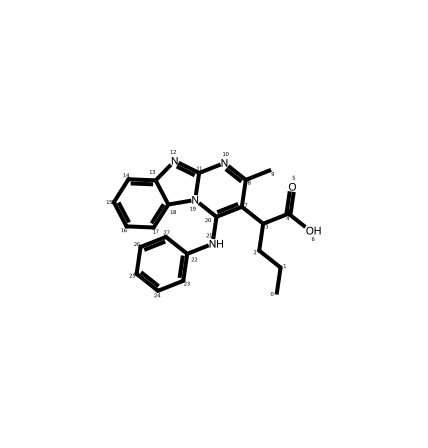 CCCC(C(=O)O)c1c(C)nc2nc3ccccc3n2c1Nc1ccccc1